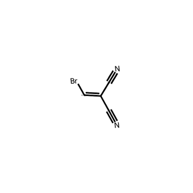 N#CC(=[C]Br)C#N